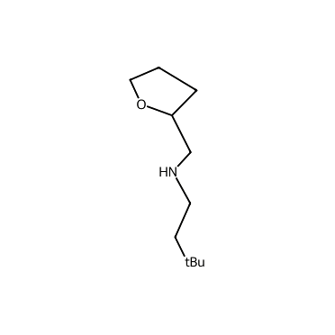 CC(C)(C)CCNCC1CCCO1